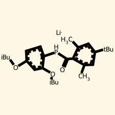 CCC(C)Oc1ccc(PC(=O)c2c(C)cc(C(C)(C)C)cc2C)c(OC(C)CC)c1.[Li]